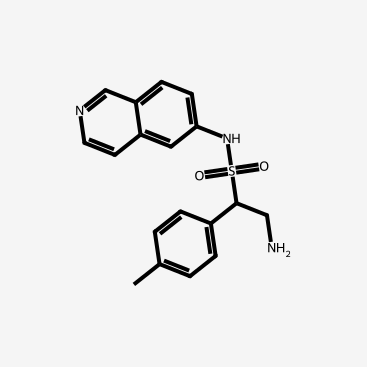 Cc1ccc(C(CN)S(=O)(=O)Nc2ccc3cnccc3c2)cc1